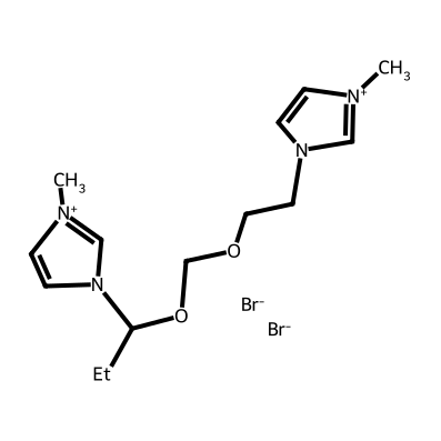 CCC(OCOCCn1cc[n+](C)c1)n1cc[n+](C)c1.[Br-].[Br-]